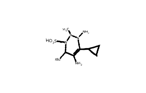 CN1N(N)C(C2CC2)=C(N)C(C(C)(C)C)N1S(=O)(=O)O